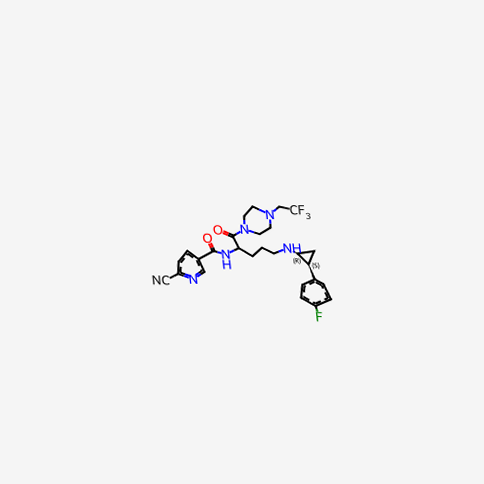 N#Cc1ccc(C(=O)NC(CCCN[C@@H]2C[C@H]2c2ccc(F)cc2)C(=O)N2CCN(CC(F)(F)F)CC2)cn1